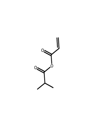 C=CC(=O)OC(=O)C(C)C